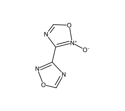 [O-][n+]1ocnc1-c1ncon1